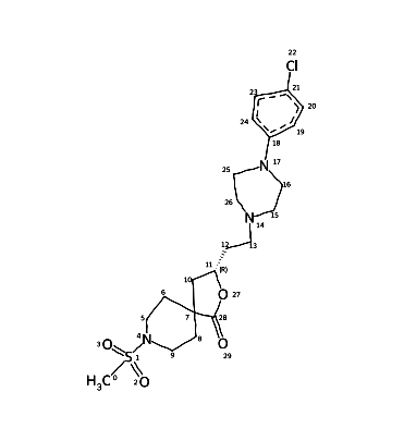 CS(=O)(=O)N1CCC2(CC1)C[C@H](CCN1CCN(c3ccc(Cl)cc3)CC1)OC2=O